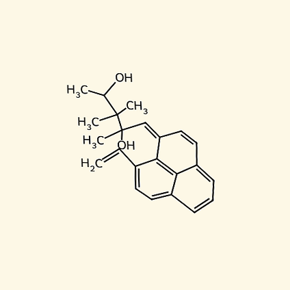 C=Cc1ccc2cccc3cc/c(=C/C(C)(O)C(C)(C)C(C)O)c1c23